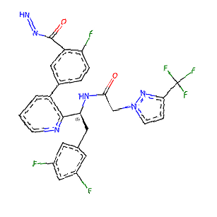 N=NC(=O)c1cc(-c2cccnc2[C@H](Cc2cc(F)cc(F)c2)NC(=O)Cn2ccc(C(F)(F)F)n2)ccc1F